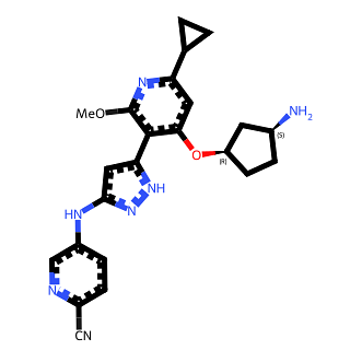 COc1nc(C2CC2)cc(O[C@@H]2CC[C@H](N)C2)c1-c1cc(Nc2ccc(C#N)nc2)n[nH]1